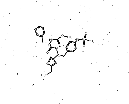 CCc1nc([C@H](Cc2ccc(NS(C)(=O)=O)cc2)NC(=O)[C@H](Cc2ccccc2)NC(=O)OC)cs1